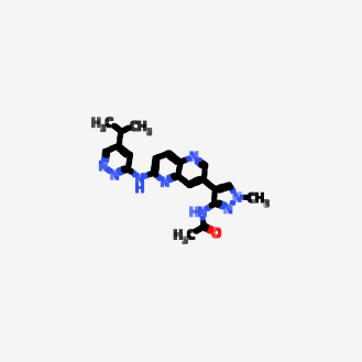 CC(=O)Nc1nn(C)cc1-c1cnc2ccc(Nc3cc(C(C)C)cnn3)nc2c1